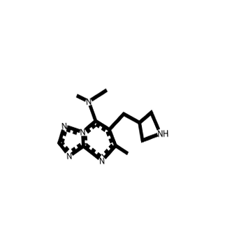 Cc1nc2ncnn2c(N(C)C)c1CC1CNC1